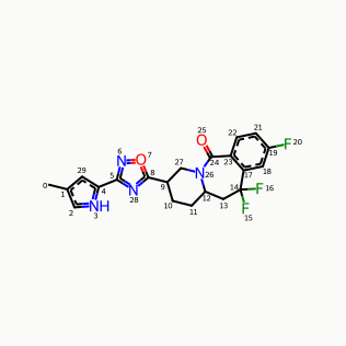 Cc1c[nH]c(-c2noc(C3CCC4CC(F)(F)c5cc(F)ccc5C(=O)N4C3)n2)c1